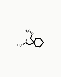 CNCC1(COC)CCCCC1